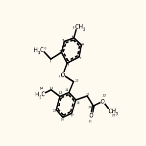 CCc1cc(C)ccc1OCc1c(CC)cccc1CC(=O)OC